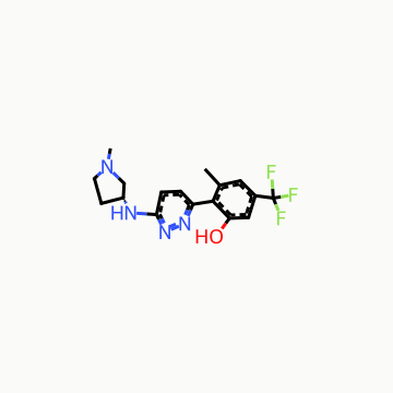 Cc1cc(C(F)(F)F)cc(O)c1-c1ccc(N[C@@H]2CCN(C)C2)nn1